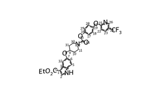 CCOC(=O)c1c[nH]c2ccc(OC3CCN(C(=O)Oc4ccc(Oc5ccc(C(F)(F)F)cn5)cc4)CC3)cc12